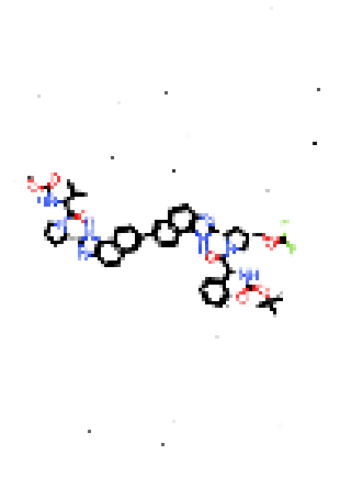 COC(=O)N[C@H](C(=O)N1CCC[C@H]1c1nc2ccc3cc(-c4ccc5c(ccc6nc([C@@H]7C[C@H](COC(F)F)CN7C(=O)[C@H](NC(=O)OC(C)(C)C)c7ccccc7)[nH]c65)c4)ccc3c2[nH]1)C(C)C